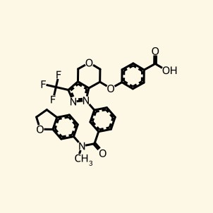 CN(C(=O)c1cccc(-n2nc(C(F)(F)F)c3c2C(Oc2ccc(C(=O)O)cc2)COC3)c1)c1ccc2c(c1)OCC2